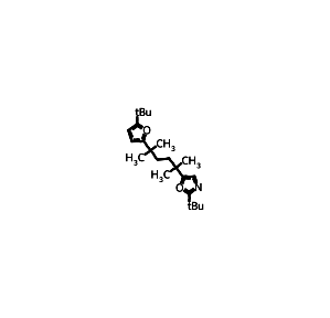 CC(C)(C)c1ccc(C(C)(C)CCC(C)(C)c2cnc(C(C)(C)C)o2)o1